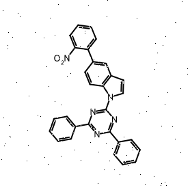 O=[N+]([O-])c1ccccc1-c1ccc2c(ccn2-c2nc(-c3ccccc3)nc(-c3ccccc3)n2)c1